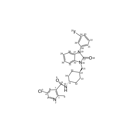 Cc1ncc(Cl)cc1C(=O)N[C@H]1CC[C@H](Cn2c(=O)n(-c3cccc(F)c3)c3ccccc32)CC1